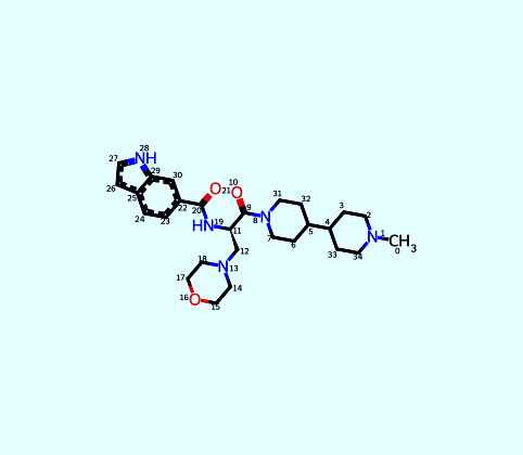 CN1CCC(C2CCN(C(=O)[C@@H](CN3CCOCC3)NC(=O)c3ccc4cc[nH]c4c3)CC2)CC1